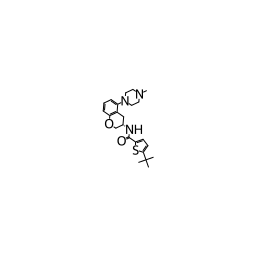 CN1CCN(c2cccc3c2C[C@H](NC(=O)c2ccc(C(C)(C)C)s2)CO3)CC1